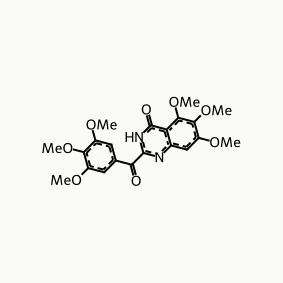 COc1cc(C(=O)c2nc3cc(OC)c(OC)c(OC)c3c(=O)[nH]2)cc(OC)c1OC